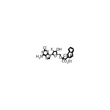 CCOC(=O)C(Cc1ccc2ccccc2c1)(OC[C@H]1O[C@@H](n2cnc3c(N)nc(Cl)nc32)[C@@H](F)[C@@H]1O)C(=O)OCC